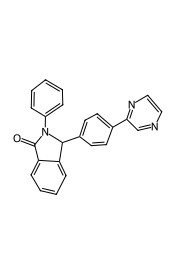 O=C1c2ccccc2C(c2ccc(-c3cnccn3)cc2)N1c1ccccc1